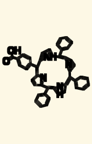 O=C(O)c1ccc(-c2c3nc(c(-c4ccccc4)c4ccc([nH]4)c(-c4ccccc4)c4nc(c(-c5ccccc5)c5ccc2[nH]5)C=C4)C=C3)cc1